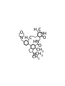 CCCc1cc(C)[nH]c(=O)c1CNC(=O)c1cc(-c2ccc(CN3CCOCC3)cc2)c2c(c1C)C(N(C)C)CC2